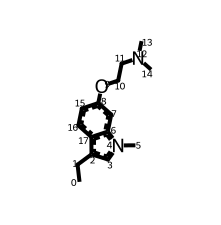 CCc1cn(C)c2cc(OCCN(C)C)ccc12